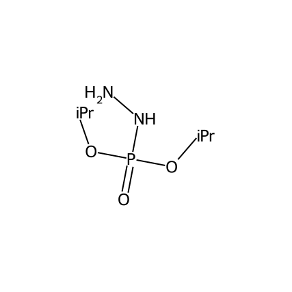 CC(C)OP(=O)(NN)OC(C)C